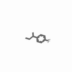 CCC(C)c1ccc(F)cc1